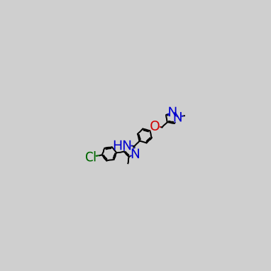 Cc1nc(-c2ccc(OCc3cnn(C)c3)cc2)[nH]c1-c1ccc(Cl)cc1